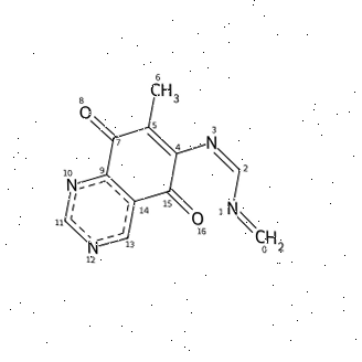 C=N/C=N\C1=C(C)C(=O)c2ncncc2C1=O